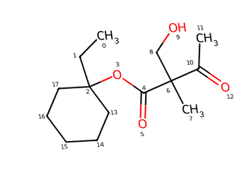 CCC1(OC(=O)C(C)(CO)C(C)=O)CCCCC1